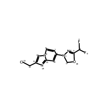 FC(F)C1=NN(c2ccn3cc(CCl)nc3c2)CO1